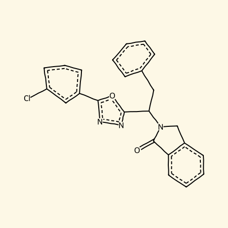 O=C1c2ccccc2CN1C(Cc1ccccc1)c1nnc(-c2cccc(Cl)c2)o1